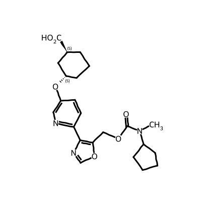 CN(C(=O)OCc1ocnc1-c1ccc(O[C@H]2CCC[C@H](C(=O)O)C2)cn1)C1CCCC1